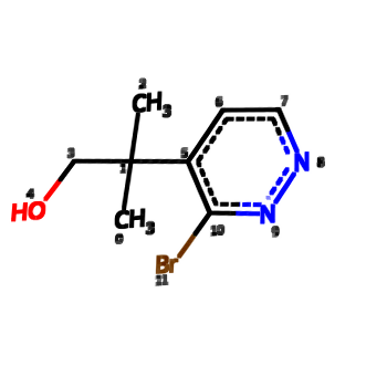 CC(C)(CO)c1ccnnc1Br